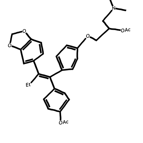 CC/C(=C(/c1ccc(OCC(CN(C)C)OC(C)=O)cc1)c1ccc(OC(C)=O)cc1)c1ccc2c(c1)OCO2